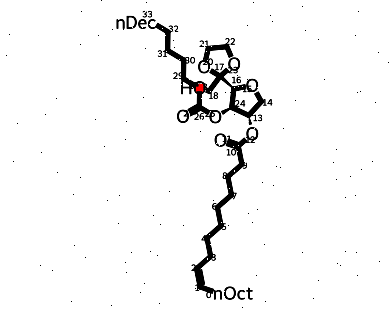 CCCCCCCC/C=C\CCCCCCCC(=O)O[C@H]1CO[C@H](C2(CO)OCCO2)[C@@H]1OC(=O)CCCCCCCCCCCCCCC